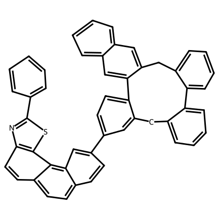 c1ccc(-c2nc3ccc4ccc5ccc(-c6ccc7c(c6)Cc6ccccc6-c6ccccc6Cc6cc8ccccc8cc6-7)cc5c4c3s2)cc1